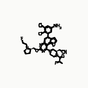 CC(F)C(=O)N1CCN(c2nc(OC[C@@H]3CCCN3CCF)nc3cc(-c4cc(N)cc(Cl)c4Cl)c4ccoc4c23)C[C@@H]1CC#N